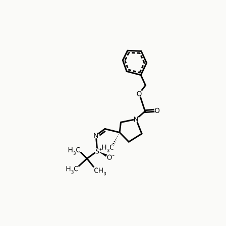 CC(C)(C)[S@+]([O-])/N=C\[C@]1(C)CCN(C(=O)OCc2ccccc2)C1